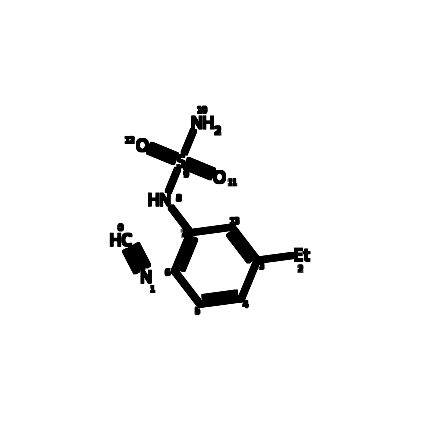 C#N.CCc1cccc(NS(N)(=O)=O)c1